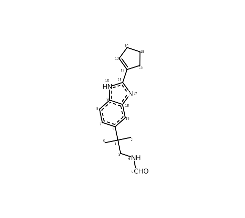 CC(C)(CNC=O)c1ccc2[nH]c(C3=CCCC3)nc2c1